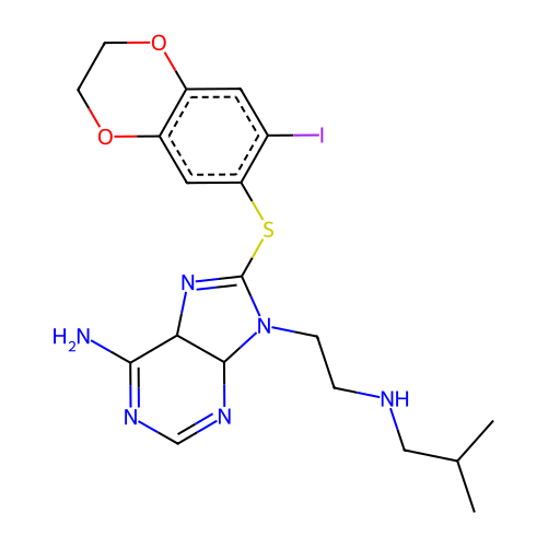 CC(C)CNCCN1C(Sc2cc3c(cc2I)OCCO3)=NC2C(N)=NC=NC21